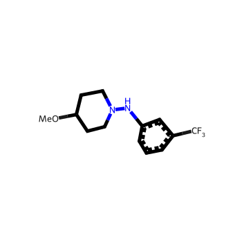 COC1CCN(Nc2cccc(C(F)(F)F)c2)CC1